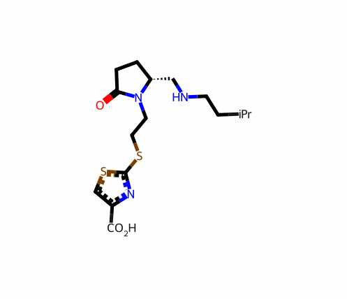 CC(C)CCNC[C@H]1CCC(=O)N1CCSc1nc(C(=O)O)cs1